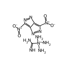 N=C(N)[N+](N)(N)N.O=[N+]([O-])C1=C2N=NC([N+](=O)[O-])=C2N=N1